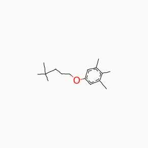 Cc1cc(OCCCC(C)(C)C)cc(C)c1C